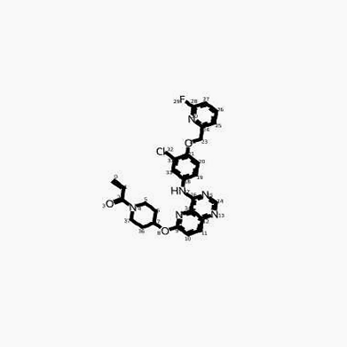 C=CC(=O)N1CCC(Oc2ccc3ncnc(Nc4ccc(OCc5cccc(F)n5)c(Cl)c4)c3n2)CC1